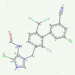 N#Cc1cc(Cl)cc(-c2c(C(F)F)ccc(Cn3cnc(Cl)c3NC=O)c2F)c1